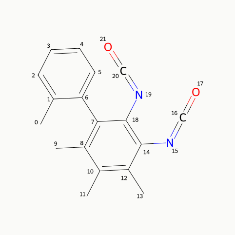 Cc1ccccc1-c1c(C)c(C)c(C)c(N=C=O)c1N=C=O